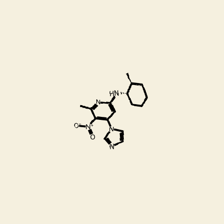 Cc1nc(N[C@H]2CCCC[C@@H]2C)cc(-n2ccnc2)c1[N+](=O)[O-]